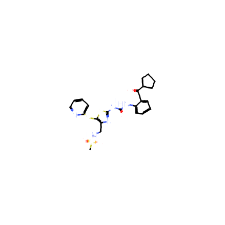 CS(=O)(=O)NCc1nc(NC(=O)Nc2ccccc2C(=O)C2CCCC2)sc1Sc1ccccn1